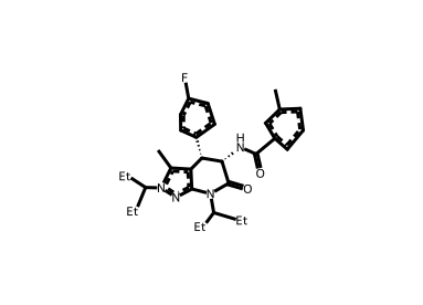 CCC(CC)N1C(=O)[C@@H](NC(=O)c2cccc(C)c2)[C@@H](c2ccc(F)cc2)c2c1nn(C(CC)CC)c2C